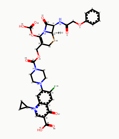 O=C(COc1ccccc1)N[C@@H]1C(=O)N2C(OC(=O)O)=C(COC(=O)N3CCN(c4cc5c(cc4F)c(=O)c(C(=O)O)cn5C4CC4)CC3)CS[C@H]12